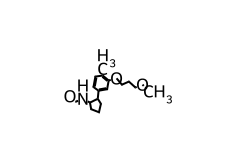 COCCCOc1cc(C2CCCC2NC=O)ccc1C